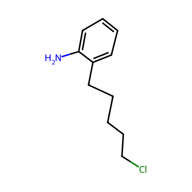 Nc1ccccc1CCCCCCl